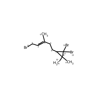 CC(=CCBr)CCC1C(C)(C)C1(Br)Br